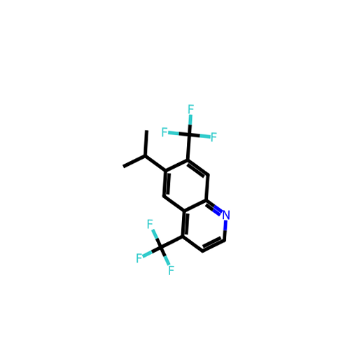 CC(C)c1cc2c(C(F)(F)F)ccnc2cc1C(F)(F)F